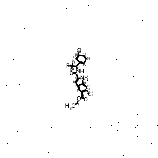 CCOC(=O)c1cc2cc(C(=O)NC(c3cccc(Cl)c3)C(F)(F)F)[nH]c2cc1Cl